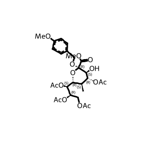 COC(=O)[C@]1(OCc2ccc(OC)cc2)O[C@@H]([C@H](OC(C)=O)[C@@H](COC(C)=O)OC(C)=O)[C@H](C)[C@@H](OC(C)=O)[C@@H]1O